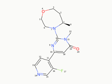 C[C@@H]1CCOCCN1c1nc(-c2ccncc2F)cc(=O)n1C